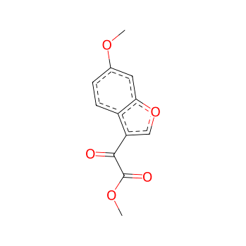 COC(=O)C(=O)c1coc2cc(OC)ccc12